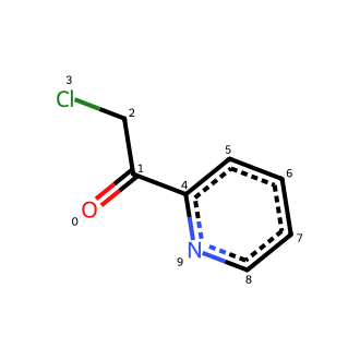 O=C(CCl)c1ccccn1